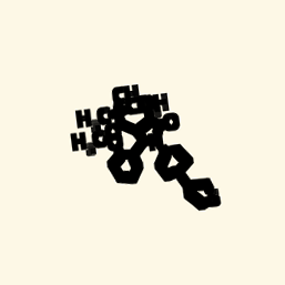 COc1ccccc1C1C(C(=O)C(C)(C)C)=C(O)C(=O)N1c1ccc(-c2ccsc2)cc1